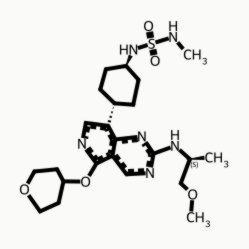 CNS(=O)(=O)N[C@H]1CC[C@H](c2cnc(OC3CCOCC3)c3cnc(N[C@@H](C)COC)nc32)CC1